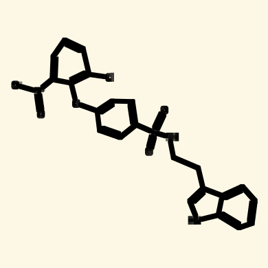 O=[N+]([O-])c1cccc(Cl)c1Oc1ccc(S(=O)(=O)NCCc2c[nH]c3ccccc23)cc1